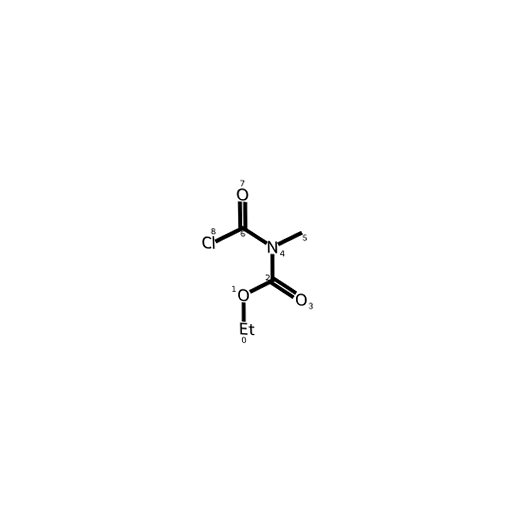 CCOC(=O)N(C)C(=O)Cl